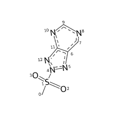 CS(=O)(=O)n1nc2cncnc2n1